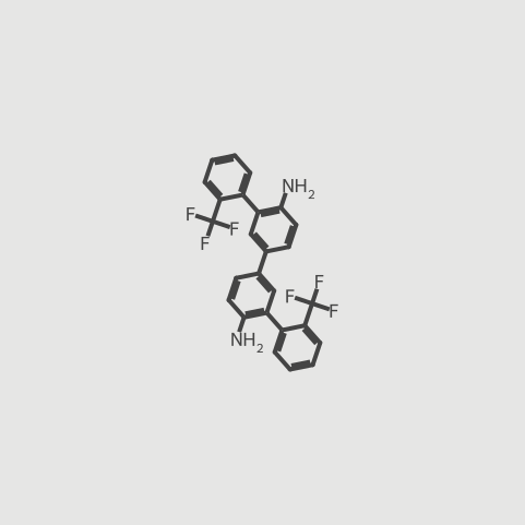 Nc1ccc(-c2ccc(N)c(-c3ccccc3C(F)(F)F)c2)cc1-c1ccccc1C(F)(F)F